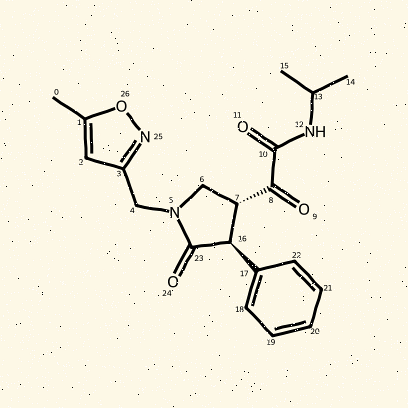 Cc1cc(CN2C[C@H](C(=O)C(=O)NC(C)C)[C@@H](c3ccccc3)C2=O)no1